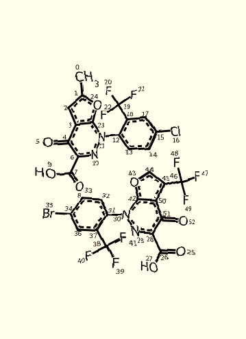 Cc1cc2c(=O)c(C(=O)O)nn(-c3ccc(Cl)cc3C(F)(F)F)c2o1.O=C(O)c1nn(-c2ccc(Br)cc2C(F)(F)F)c2occ(C(F)(F)F)c2c1=O